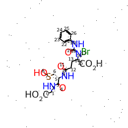 O=C(O)CNC(=O)[C@H](CSO)NC(=O)CC[C@@H](C(=O)O)N(Br)C(=O)Nc1ccccc1